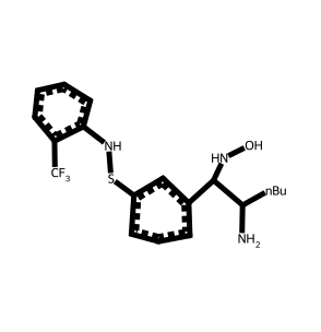 CCCCC(N)C(NO)c1cccc(SNc2ccccc2C(F)(F)F)c1